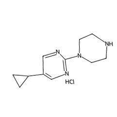 Cl.c1nc(N2CCNCC2)ncc1C1CC1